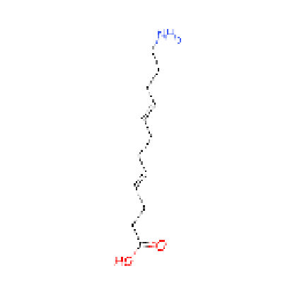 NCCCC=CCCC=CCCC(=O)O